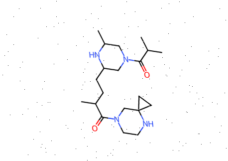 CC1CN(C(=O)C(C)C)CC(CCC(C)C(=O)N2CCNC3(CC3)C2)N1